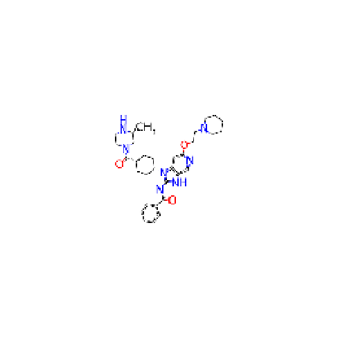 C[C@H]1CN(C(=O)[C@H]2CC[C@@H](n3/c(=N/C(=O)c4ccccc4)[nH]c4cnc(OCCN5CCCCC5)cc43)CC2)CCN1